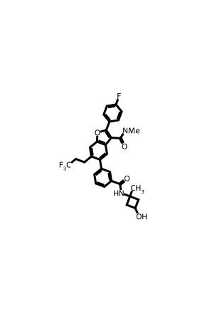 CNC(=O)c1c(-c2ccc(F)cc2)oc2cc(CCC(F)(F)F)c(-c3cccc(C(=O)NC4(C)CC(O)C4)c3)cc12